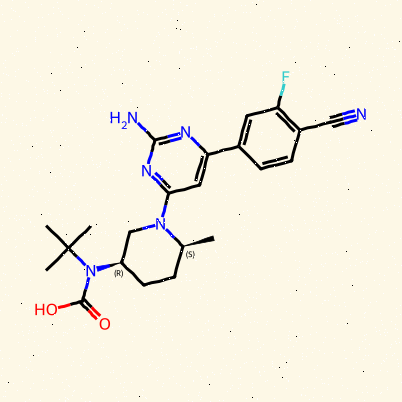 C[C@H]1CC[C@@H](N(C(=O)O)C(C)(C)C)CN1c1cc(-c2ccc(C#N)c(F)c2)nc(N)n1